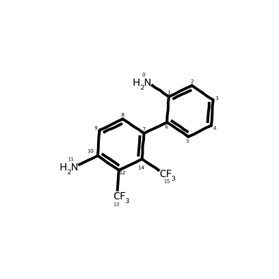 Nc1ccccc1-c1ccc(N)c(C(F)(F)F)c1C(F)(F)F